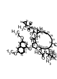 CCOc1cc2cc(OC)ccc2c(O[C@@H]2C[C@H]3C(=O)N[C@]4(C(=O)NS(=O)(=O)C5(C)CC5)C[C@H]4C=CCC[C@@H](C)C[C@@H](C)[C@H](N(C(=O)O)C(C)(C)C(C)(F)F)C(=O)N3C2)n1